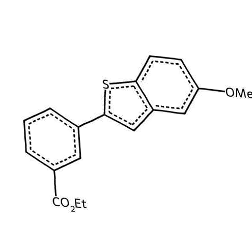 CCOC(=O)c1cccc(-c2cc3cc(OC)ccc3s2)c1